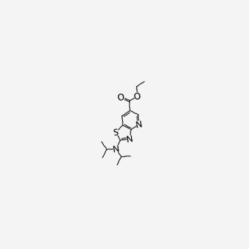 CCOC(=O)c1cnc2nc(N(C(C)C)C(C)C)sc2c1